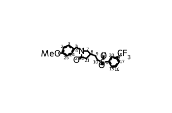 COc1ccc(CN2CC(CCS(=O)(=O)c3cccc(C(F)(F)F)c3)CC2=O)cc1